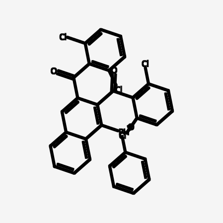 O=C(c1cc2ccccc2c([PH](=O)c2ccccc2)c1C(=O)c1c(Cl)cccc1Cl)c1c(Cl)cccc1Cl